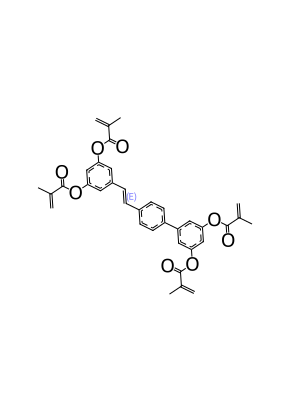 C=C(C)C(=O)Oc1cc(/C=C/c2ccc(-c3cc(OC(=O)C(=C)C)cc(OC(=O)C(=C)C)c3)cc2)cc(OC(=O)C(=C)C)c1